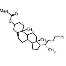 CNC(=O)O[C@H]1CC[C@@]2(C)C(=CCC3C4CCC([C@@H](C)CCCC(C)C)[C@@]4(C)CCC32)C1